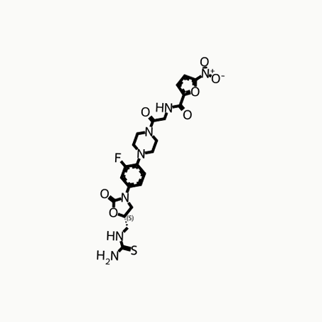 NC(=S)NC[C@H]1CN(c2ccc(N3CCN(C(=O)CNC(=O)c4ccc([N+](=O)[O-])o4)CC3)c(F)c2)C(=O)O1